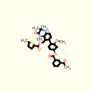 COc1cc(OC(=O)c2cccc(C(C)=O)c2)ccc1-c1ccc2c(c1COC(=O)c1ccc(C)s1)N(C)C(=O)C(C)(C)N2